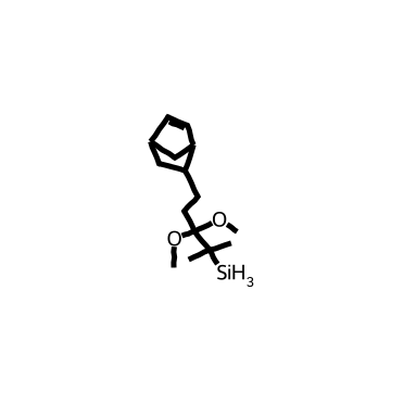 COC(CCC1CC2C=CC1C2)(OC)C(C)(C)[SiH3]